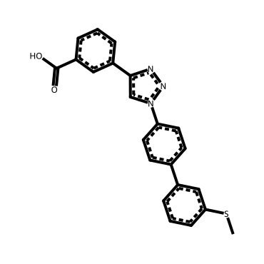 CSc1cccc(-c2ccc(-n3cc(-c4cccc(C(=O)O)c4)nn3)cc2)c1